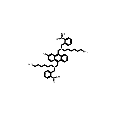 CC(=O)c1ccc2c(CN(CCCCCCN)Cc3ccccc3B(O)O)c3ccccc3c(CN(CCCCCCN)Cc3ccccc3B(O)O)c2c1